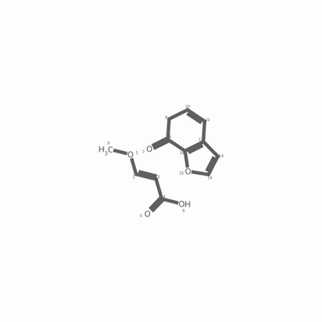 COC=CC(=O)O.O=C1CC=Cc2ccoc21